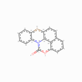 O=c1oc2cccc3ccc4sc5ccccc5n1-c4c32